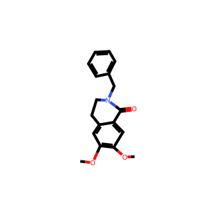 COc1cc2c(cc1OC)C(=O)N(Cc1ccccc1)CC2